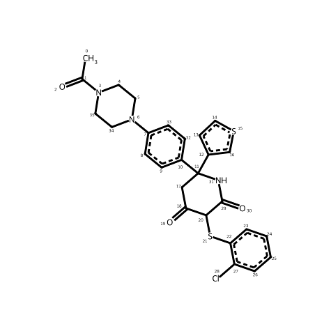 CC(=O)N1CCN(c2ccc(C3(c4ccsc4)CC(=O)C(Sc4ccccc4Cl)C(=O)N3)cc2)CC1